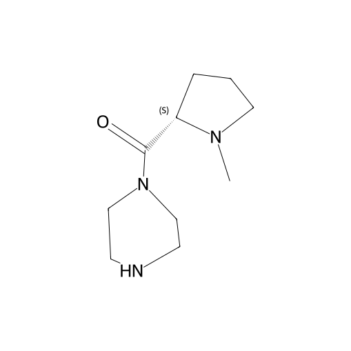 CN1CCC[C@H]1C(=O)N1CCNCC1